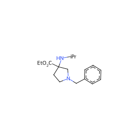 CCOC(=O)C1(NC(C)C)CCN(Cc2ccccc2)C1